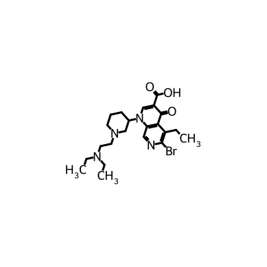 CCc1c(Br)ncc2c1c(=O)c(C(=O)O)cn2C1CCCN(CCN(CC)CC)C1